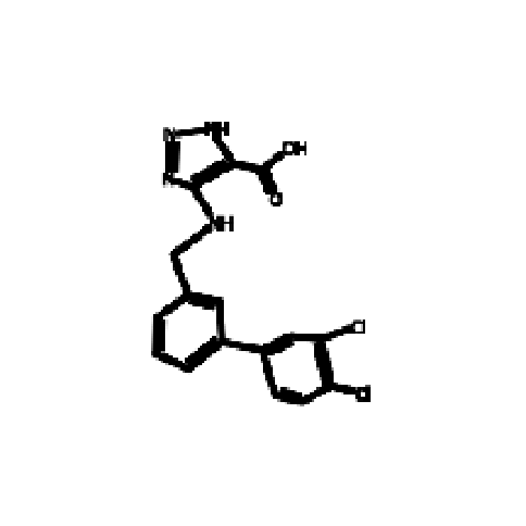 O=C(O)c1[nH]nnc1NCc1cccc(-c2ccc(Cl)c(Cl)c2)c1